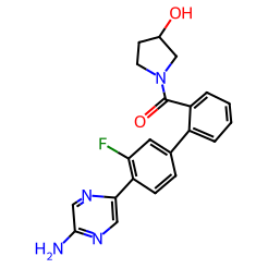 Nc1cnc(-c2ccc(-c3ccccc3C(=O)N3CCC(O)C3)cc2F)cn1